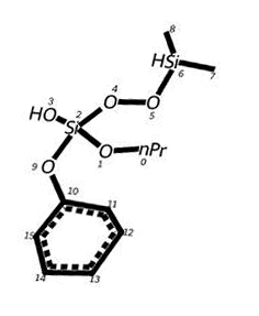 CCCO[Si](O)(OO[SiH](C)C)Oc1ccccc1